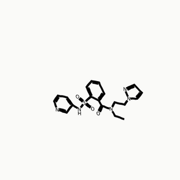 CCN(CCn1cccn1)C(=O)c1ccccc1S(=O)(=O)Nc1cccnc1